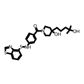 CC(C)(O)CCCC1(O)CCN(C(=O)c2ccc(NSc3cccc4scnc34)cc2)CC1